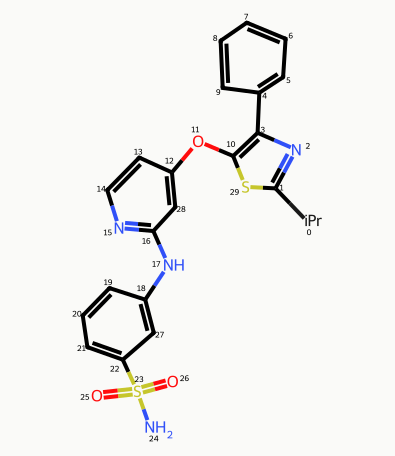 CC(C)c1nc(-c2ccccc2)c(Oc2ccnc(Nc3cccc(S(N)(=O)=O)c3)c2)s1